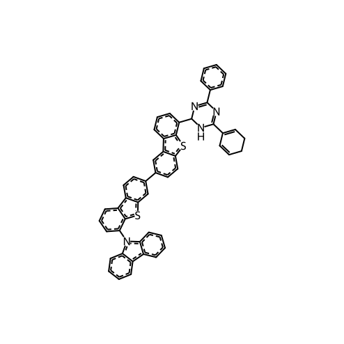 C1=CC(C2=NC(c3ccccc3)=NC(c3cccc4c3sc3ccc(-c5ccc6c(c5)sc5c(-n7c8ccccc8c8ccccc87)cccc56)cc34)N2)=CCC1